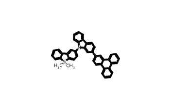 C[Si]1(C)c2ccccc2-c2cc(-n3c4ccccc4c4ccc(-c5ccc6c7ccccc7c7ccccc7c6c5)cc43)ccc21